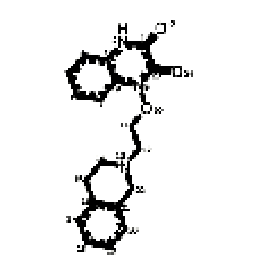 O=c1[nH]c2ccccc2n(OCCN2CCc3ccccc3C2)c1=O